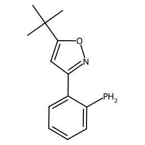 CC(C)(C)c1cc(-c2ccccc2P)no1